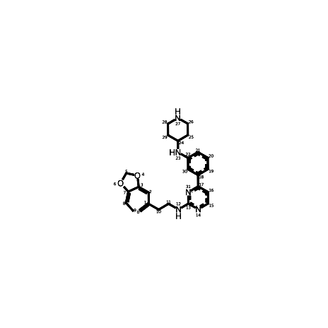 C=C(/C=C1/OCO/C1=C/C)CCNc1nccc(-c2cccc(NC3CCNCC3)c2)n1